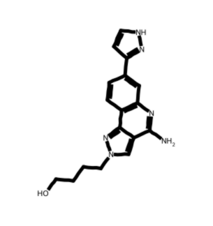 Nc1nc2cc(-c3cc[nH]n3)ccc2c2nn(CCCCO)cc12